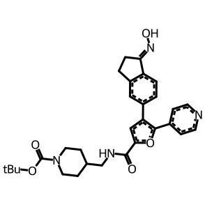 CC(C)(C)OC(=O)N1CCC(CNC(=O)c2cc(-c3ccc4c(c3)CCC4=NO)c(-c3ccncc3)o2)CC1